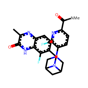 CNC(=O)c1ccc(N2CC3CC(C2)N3Cc2ccc3nc(C)c(=O)[nH]c3c2F)c(F)n1